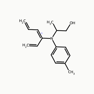 C=C/C=C(\C=C)N(c1ccc(C)cc1)C(C)CO